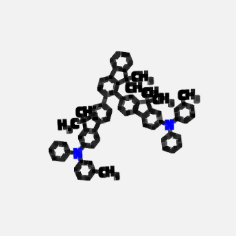 Cc1cccc(N(c2ccccc2)c2ccc3c(c2)C(C)(C)c2cc(-c4ccc5c(c4-c4ccc6c(c4)C(C)(C)c4cc(N(c7ccccc7)c7cccc(C)c7)ccc4-6)C(C)(C)c4ccccc4-5)ccc2-3)c1